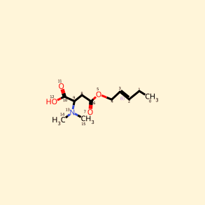 CC/C=C/COC(=O)CC(C(=O)O)N(C)C